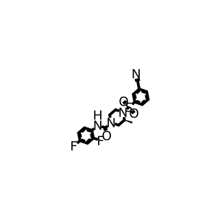 C[C@H]1CN(C(=O)Nc2ccc(F)cc2F)CCN1S(=O)(=O)c1cccc(C#N)c1